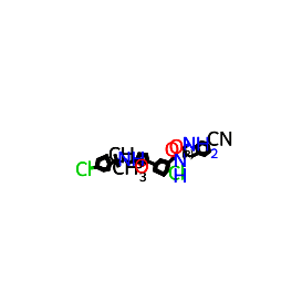 CC(C)(NCc1ccc(-c2ccc(Cl)c(C(=O)N[C@H](Cc3ccc(C#N)cc3)C(N)=O)c2)o1)c1ccc(Cl)cc1